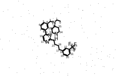 CCN(Cc1cccc(-c2ccnc(CCCCc3cccc(C(F)(F)F)c3)n2)c1)C1CCNCC1